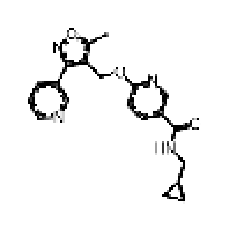 Cc1onc(-c2cccnc2)c1COc1ccc(C(=O)NCC2CC2)cn1